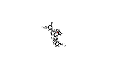 CC(C)COc1cc(F)cc(-c2ccc(C(=O)NS(=O)(=O)c3cccc(N)n3)c(N3CC4CCC3[C@H]4C)n2)c1